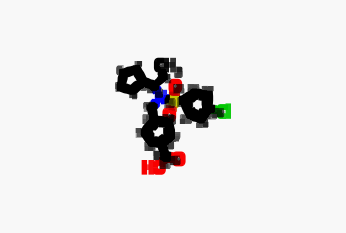 CC[C@H](C1CCCC1)N(Cc1ccc(C(=O)O)cc1)S(=O)(=O)c1ccc(Cl)cc1